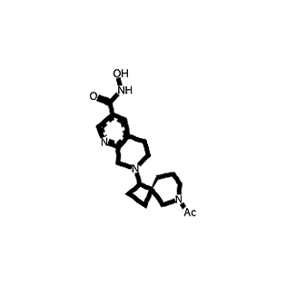 CC(=O)N1CCC[C@]2(CCC2N2CCc3cc(C(=O)NO)cnc3C2)C1